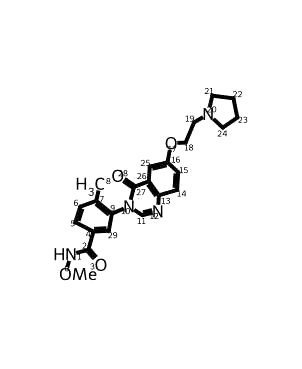 CONC(=O)c1ccc(C)c(-n2cnc3ccc(OCCN4CCCC4)cc3c2=O)c1